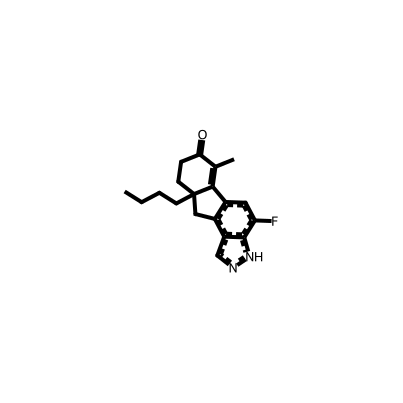 CCCCC12CCC(=O)C(C)=C1c1cc(F)c3[nH]ncc3c1C2